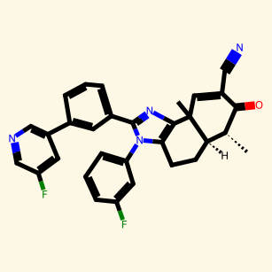 C[C@H]1C(=O)C(C#N)=CC2(C)c3nc(-c4cccc(-c5cncc(F)c5)c4)n(-c4cccc(F)c4)c3CC[C@H]12